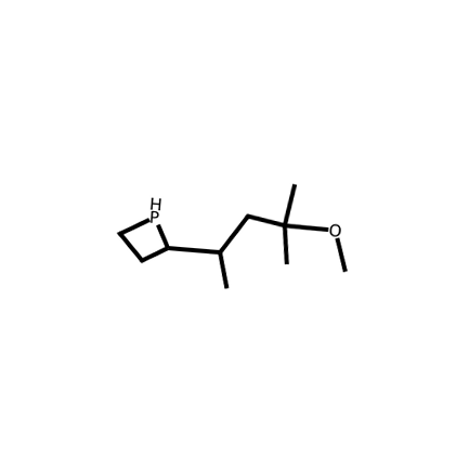 COC(C)(C)CC(C)C1CCP1